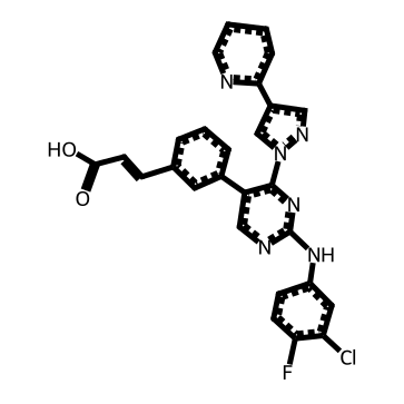 O=C(O)/C=C/c1cccc(-c2cnc(Nc3ccc(F)c(Cl)c3)nc2-n2cc(-c3ccccn3)cn2)c1